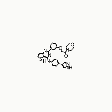 O=C(COc1cccc(-c2nc(Nc3ccc(-c4cn[nH]c4)cc3)c3sccc3n2)c1)N1CCOCC1